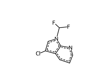 FC(F)n1cc(Cl)c2cccnc21